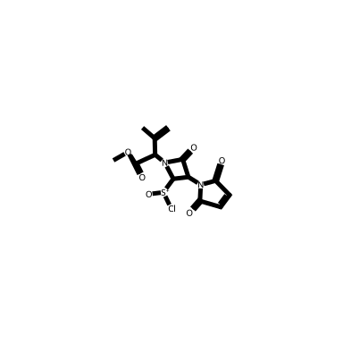 C=C(C)C(C(=O)OC)N1C(=O)C(N2C(=O)C=CC2=O)C1[S+]([O-])Cl